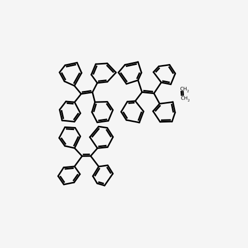 C=C.c1ccc(C(=C(c2ccccc2)c2ccccc2)c2ccccc2)cc1.c1ccc(C(=C(c2ccccc2)c2ccccc2)c2ccccc2)cc1.c1ccc(C(=C(c2ccccc2)c2ccccc2)c2ccccc2)cc1